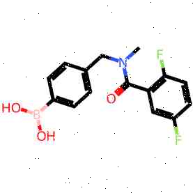 CN(Cc1ccc(B(O)O)cc1)C(=O)c1cc(F)ccc1F